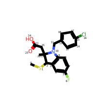 CSC1c2cc(F)ccc2N(Cc2ccc(Cl)cc2)C1(C)CC(=O)O